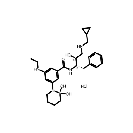 CCNc1cc(C(=O)N[C@@H](Cc2ccccc2)[C@@H](O)CNCC2CC2)cc(N2CCCCS2(O)O)c1.Cl